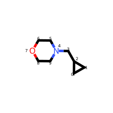 [CH]1CC1CN1CCOCC1